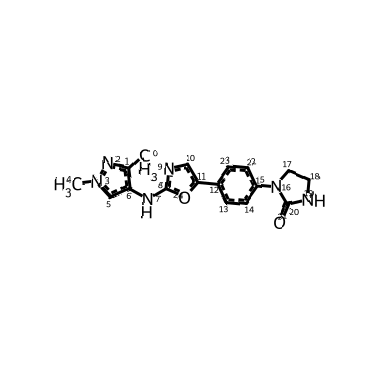 Cc1nn(C)cc1Nc1ncc(-c2ccc(N3CCNC3=O)cc2)o1